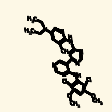 CCN(CC)c1cnc(Nc2cc(-c3cncnc3Nc3c(Cl)c(OC)cc(OC)c3Cl)ncn2)c(C)c1